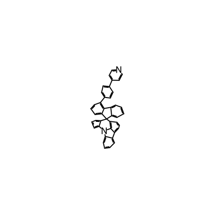 c1ccc2c(c1)-c1c(-c3ccc(-c4ccncc4)cc3)cccc1C21c2ccccc2-n2c3ccccc3c3cccc1c32